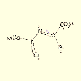 COC(=O)/N=C(/C(=O)O)C(C)C